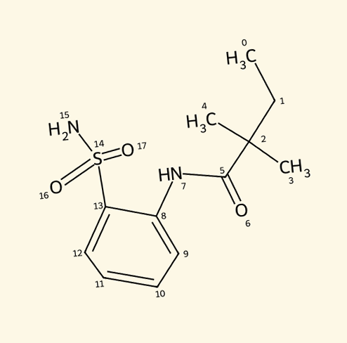 CCC(C)(C)C(=O)Nc1ccccc1S(N)(=O)=O